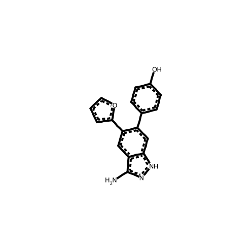 Nc1n[nH]c2cc(-c3ccc(O)cc3)c(-c3ccco3)cc12